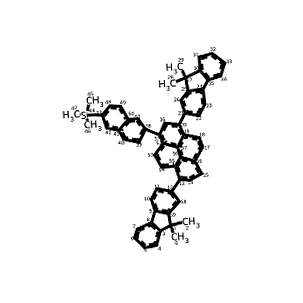 CC1(C)c2ccccc2-c2ccc(-c3ccc4ccc5c(-c6ccc7c(c6)C(C)(C)c6ccccc6-7)cc(-c6ccc7cc([Si](C)(C)C)ccc7c6)c6ccc3c4c56)cc21